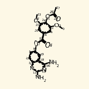 COc1cc(C(=O)Oc2ccc3nc(N)nc(N)c3c2)cc(OC)c1OC(C)=O